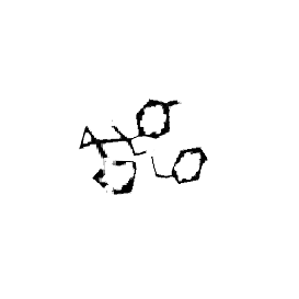 [O-][S+](Cc1ccccc1)CC(O)(c1ccc(Cl)cc1)C1(n2ccnc2)CC1